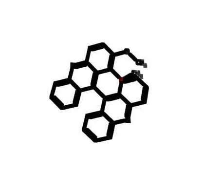 COc1ccc2nc3ccccc3c(-c3c4ccccc4nc4ccccc34)c2c1OC